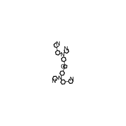 c1cncc(-c2cccc(N(c3ccc(-c4ccc(-c5ccc(N(c6cccnc6)c6cccc(-c7cccnc7)c6)cc5)o4)cc3)c3cccnc3)c2)c1